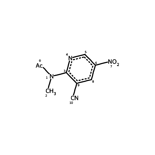 CC(=O)N(C)c1ncc([N+](=O)[O-])cc1C#N